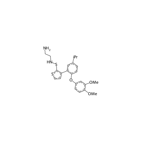 COc1ccc(Oc2ccc(C(C)C)cc2-c2ccsc2SNCCN)cc1OC